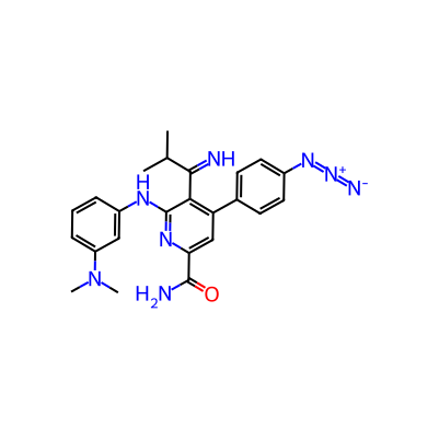 CC(C)C(=N)c1c(-c2ccc(N=[N+]=[N-])cc2)cc(C(N)=O)nc1Nc1cccc(N(C)C)c1